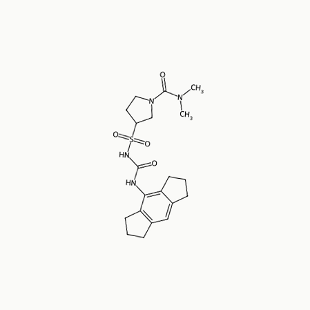 CN(C)C(=O)N1CCC(S(=O)(=O)NC(=O)Nc2c3c(cc4c2CCC4)CCC3)C1